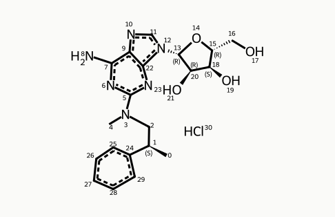 C[C@H](CN(C)c1nc(N)c2ncn([C@@H]3O[C@H](CO)[C@@H](O)[C@H]3O)c2n1)c1ccccc1.Cl